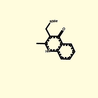 CNCc1c(C)[nH]c2ccccc2c1=O